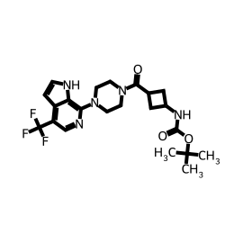 CC(C)(C)OC(=O)NC1CC(C(=O)N2CCN(c3ncc(C(F)(F)F)c4cc[nH]c34)CC2)C1